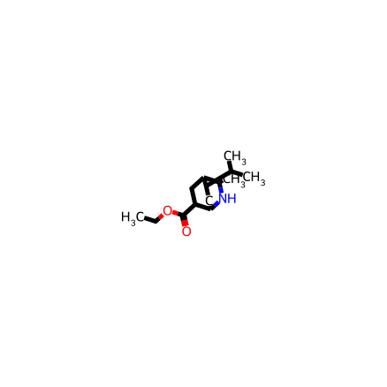 CCOC(=O)C1CC2C(C)NC1CC2C(C)C